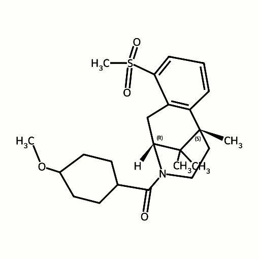 COC1CCC(C(=O)N2CC[C@@]3(C)c4cccc(S(C)(=O)=O)c4C[C@@H]2C3(C)C)CC1